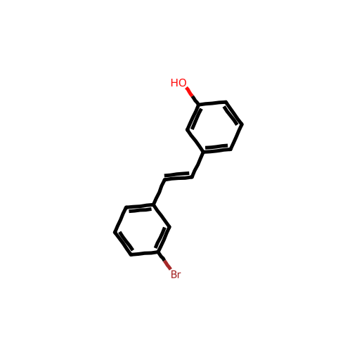 Oc1cccc(C=Cc2cccc(Br)c2)c1